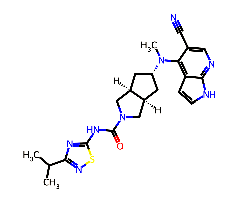 CC(C)c1nsc(NC(=O)N2C[C@H]3C[C@H](N(C)c4c(C#N)cnc5[nH]ccc45)C[C@H]3C2)n1